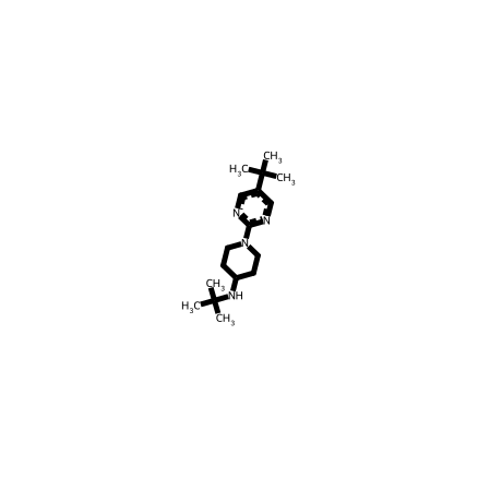 CC(C)(C)NC1CCN(c2ncc(C(C)(C)C)cn2)CC1